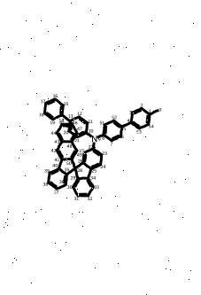 Cc1ccc(-c2ccc(N(c3ccc(-c4ccccc4)cc3)c3ccc4c(c3)C3(c5ccccc5-4)c4ccccc4-c4cc5ccccc5cc43)cc2)cc1